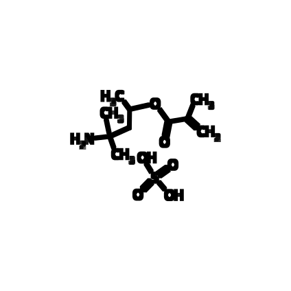 C=C(C)C(=O)OC(C)CC(C)(C)N.O=S(=O)(O)O